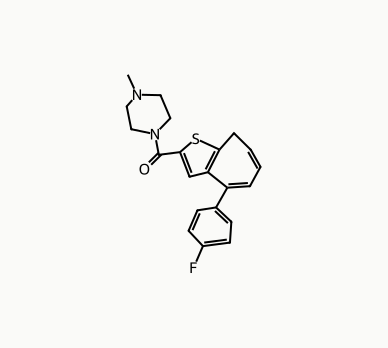 CN1CCN(C(=O)c2cc3c(s2)CC=CC=C3c2ccc(F)cc2)CC1